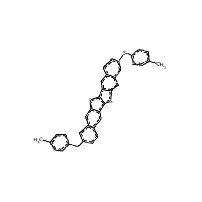 Cc1ccc(Cc2ccc3cc4c(cc3c2)sc2c3cc5ccc(Sc6ccc(C)cc6)cc5cc3sc42)cc1